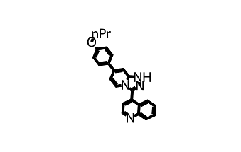 CCCOc1ccc(C2=CC3NN=C(c4ccnc5ccccc45)N3C=C2)cc1